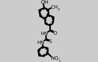 Cc1c(O)ccc2cc(C(=O)NC(=S)Nc3cccc([N+](=O)[O-])c3)ccc12